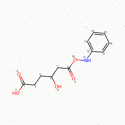 O=C(O)CCC(O)CC(=O)ONc1ccccc1